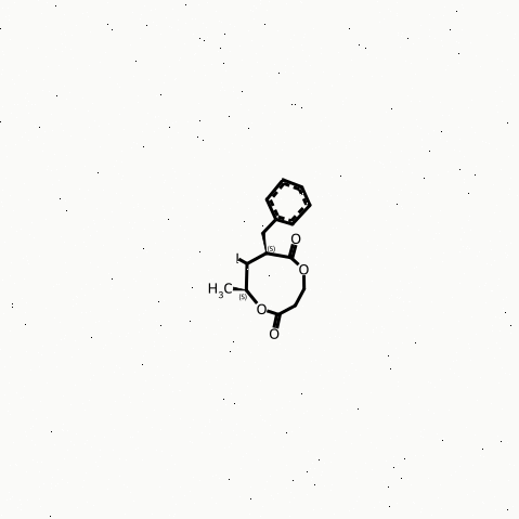 C[C@@H]1OC(=O)CCOC(=O)[C@H](Cc2ccccc2)C1I